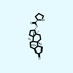 C[C@]12CC[C@H]3[C@@H](CCC4=CC(=O)C=C[C@@]43O)[C@@H]1CC[C@@H]2OC(=O)[C@H]1CCCN1